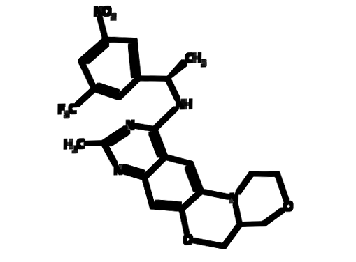 Cc1nc(N[C@H](C)c2cc([N+](=O)[O-])cc(C(F)(F)F)c2)c2cc3c(cc2n1)OCC1COCCN31